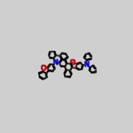 c1ccc(-c2ccccc2N(c2ccc3c(c2)oc2ccccc23)c2ccc3c(c2)c2ccccc2c2c4ccc(N(c5ccccc5)c5ccccc5)cc4oc32)cc1